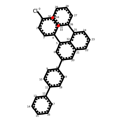 Clc1ccc(-c2cc(-c3ccc(-c4ccccc4)cc3)cc3cccc(-c4ccccc4)c23)cc1